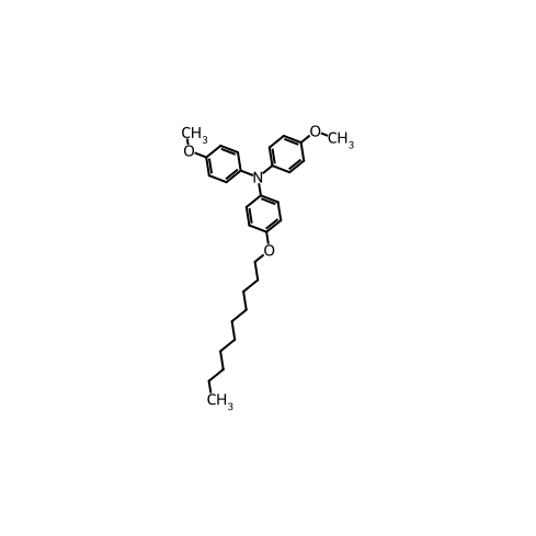 CCCCCCCCCCOc1ccc(N(c2ccc(OC)cc2)c2ccc(OC)cc2)cc1